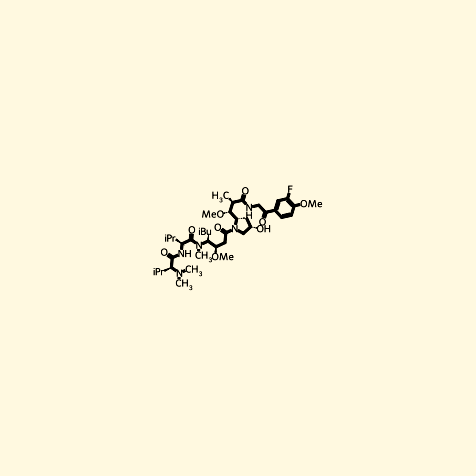 CC[C@H](C)C([C@@H](CC(=O)N1C[C@@H](O)C[C@H]1[C@H](OC)[C@@H](C)C(=O)NCC(=O)c1ccc(OC)c(F)c1)OC)N(C)C(=O)[C@@H](NC(=O)[C@H](C(C)C)N(C)C)C(C)C